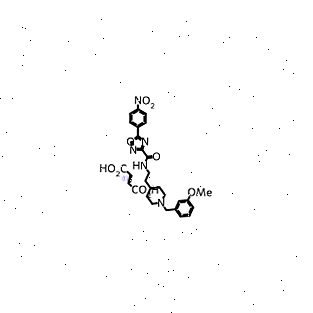 COc1cccc(CN2CCC(CCNC(=O)c3noc(-c4ccc([N+](=O)[O-])cc4)n3)CC2)c1.O=C(O)/C=C/C(=O)O